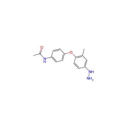 CC(=O)Nc1ccc(Oc2ccc(NN)cc2C)cc1